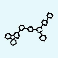 c1ccc(-c2ccc(-c3cc(-c4ccc(-c5cccc(-c6ccc7c(c6)-c6ccccc6C76CCCCC6)c5)cc4)nc(-c4ccccc4)n3)cc2)cc1